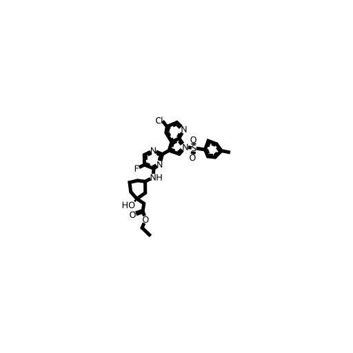 CCOC(=O)C[C@]1(O)CCCC(Nc2nc(-c3cn(S(=O)(=O)c4ccc(C)cc4)c4ncc(Cl)cc34)ncc2F)C1